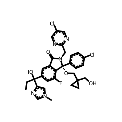 CCC(O)(c1cc(F)c2c(c1)C(=O)N(Cc1ncc(Cl)cn1)[C@@]2(OCC1(CO)CC1)c1ccc(Cl)cc1)c1cn(C)cn1